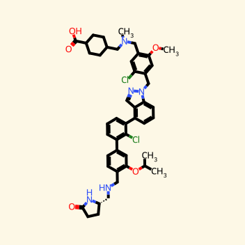 COc1cc(Cn2ncc3c(-c4cccc(-c5ccc(CNC[C@@H]6CCC(=O)N6)c(OC(C)C)c5)c4Cl)cccc32)c(Cl)cc1CN(C)CC1CCC(C(=O)O)CC1